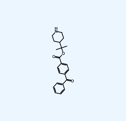 CC(C)(OC(=O)c1ccc(C(=O)c2ccccc2)cc1)C1CCNCC1